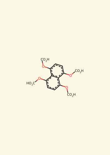 O=C(O)Oc1ccc(OC(=O)O)c2c(OC(=O)O)ccc(OC(=O)O)c12